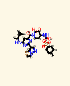 Cc1ccc(S(=O)(=O)OC(=O)NC2CCN(C(=O)c3cc(N[C@@H](C)C4CC4)nc(-c4cnn5ccsc45)n3)CC2)cc1.O